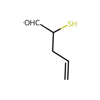 C=CCC(S)[C]=O